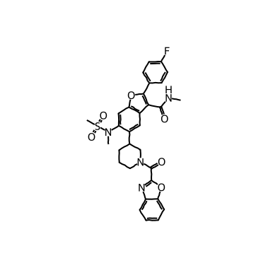 CNC(=O)c1c(-c2ccc(F)cc2)oc2cc(N(C)S(C)(=O)=O)c(C3CCCN(C(=O)c4nc5ccccc5o4)C3)cc12